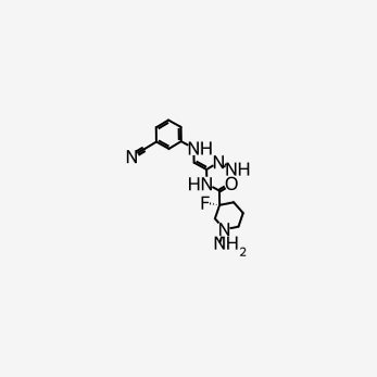 N#Cc1cccc(N/C=C(\N=N)NC(=O)[C@@]2(F)CCCN(N)C2)c1